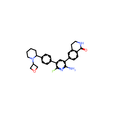 Nc1nc(F)c(-c2ccc(C3CCCCN3C3COC3)cc2)cc1-c1ccc2c(c1)CCNC2=O